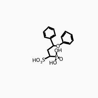 O=P(O)(O)C(CC(Oc1ccccc1)c1ccccc1)S(=O)(=O)O